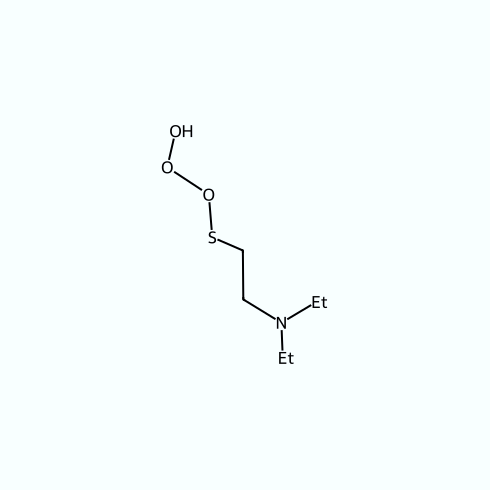 CCN(CC)CCSOOO